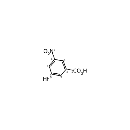 F.O=C(O)c1cccc([N+](=O)[O-])c1